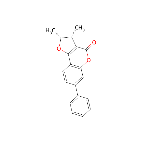 C[C@@H]1c2c(c3ccc(-c4ccccc4)cc3oc2=O)O[C@@H]1C